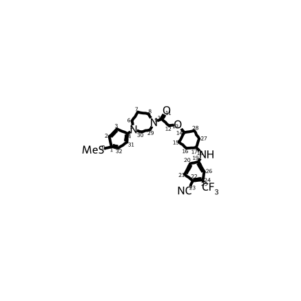 CSc1ccc(N2CCCN(C(=O)COC3CCC(Nc4ccc(C#N)c(C(F)(F)F)c4)CC3)CC2)cc1